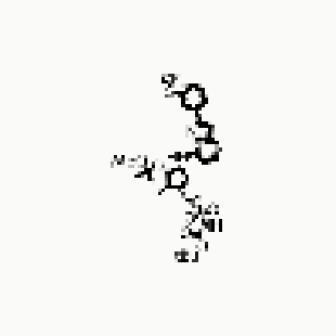 COC(C)(C)O[C@@H]1[C@H](C)[C@@H](COS(=O)(=O)NC(=O)OC(C)(C)C)C[C@H]1Nc1ccnc2cc(-c3cccc(SC(F)(F)F)c3)nn12